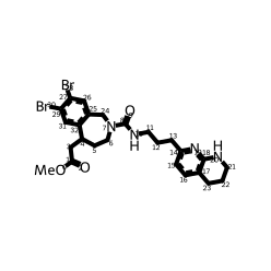 COC(=O)CC1CCN(C(=O)NCCCc2ccc3c(n2)NCCC3)Cc2cc(Br)c(Br)cc21